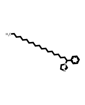 CCCCCCCCCCCCCCCCCCC(c1ccccc1)N1C=NCC1